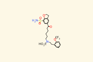 NS(=O)(=O)c1cc(C(=O)CCCCCN(CCc2ccccc2OC(F)(F)F)C(=O)O)cc2c1OCC2